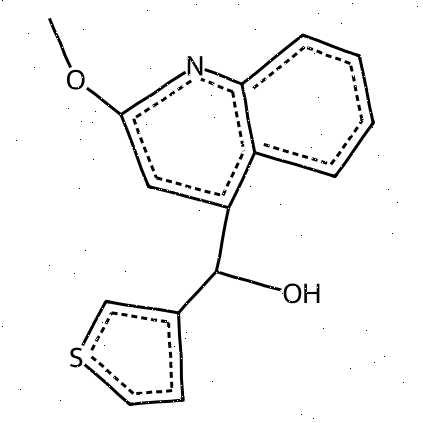 COc1cc(C(O)c2ccsc2)c2ccccc2n1